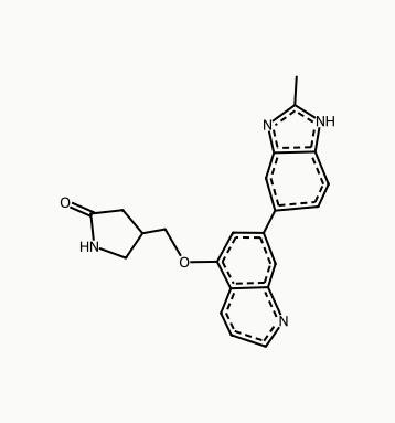 Cc1nc2cc(-c3cc(OCC4CNC(=O)C4)c4cccnc4c3)ccc2[nH]1